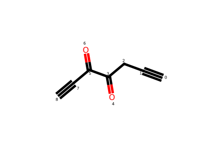 C#CCC(=O)C(=O)C#C